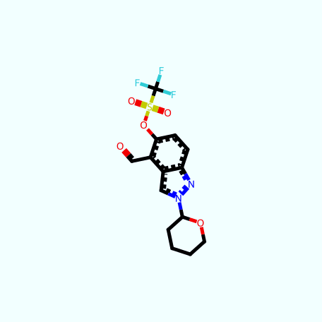 O=Cc1c(OS(=O)(=O)C(F)(F)F)ccc2nn(C3CCCCO3)cc12